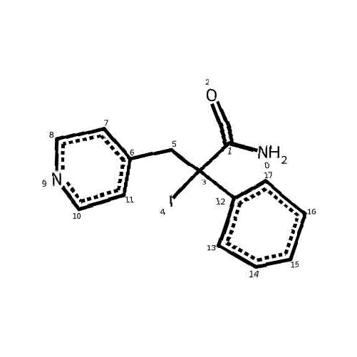 NC(=O)C(I)(Cc1ccncc1)c1ccccc1